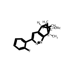 CC(=O)O[C@H]1C[C@@H]2c3cc(-c4ccccc4F)nnc3[C@@]1(C)C2(C)C